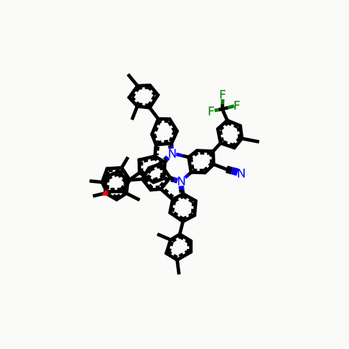 Cc1cc(-c2cc(-n3c4ccc(-c5ccc(C)cc5C)cc4c4cc(-c5ccc(C)cc5C)ccc43)c(-n3c4ccc(-c5ccc(C)cc5C)cc4c4cc(-c5ccc(C)cc5C)ccc43)cc2C#N)cc(C(F)(F)F)c1